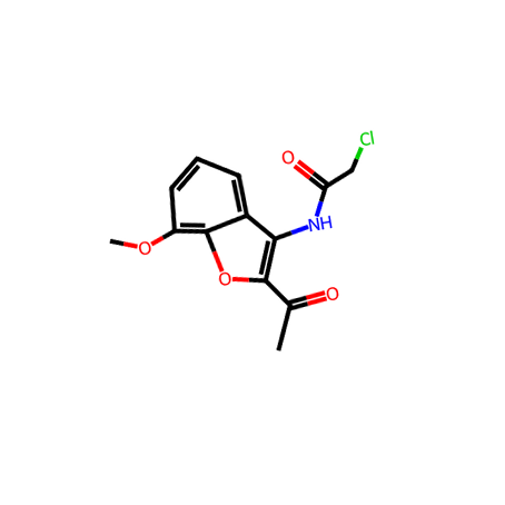 COc1cccc2c(NC(=O)CCl)c(C(C)=O)oc12